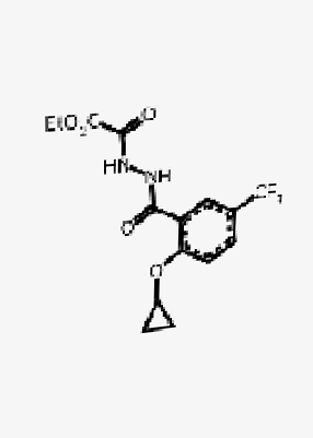 CCOC(=O)C(=O)NNC(=O)c1cc(C(F)(F)F)ccc1OC1CC1